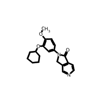 COc1ccc(N2Cc3cnccc3C2=O)cc1OC1CCCCC1